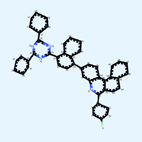 Fc1ccc(-c2nc3cc(-c4ccc(-c5nc(-c6ccccc6)nc(-c6ccccc6)n5)c5ccccc45)ccc3c3c2ccc2ccccc23)cc1